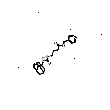 O=C(NCCCC(=O)OCc1ccccc1)NC12CC3CC(CC(C3)C1)C2